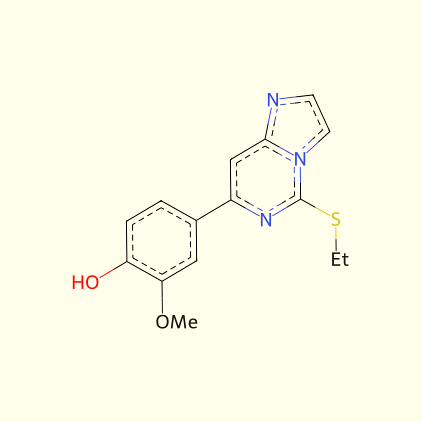 CCSc1nc(-c2ccc(O)c(OC)c2)cc2nccn12